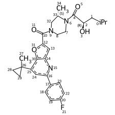 CC(C)C[C@@H](O)C(=O)N1CCN(C(=O)c2cc3nc(-c4ccc(F)cc4)cc(C4(C)CC4)c3o2)C[C@@H]1C